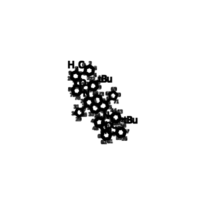 Cc1ccccc1-c1cccc2c1oc1c(N(c3ccc(C(C)(C)C)cc3)c3cc(C4CCCC4)c4ccc5c(N(c6ccc(C(C)(C)C)cc6)c6cccc7c6oc6c(-c8ccccc8C)cccc67)cc(C6CCCC6)c6ccc3c4c65)cccc12